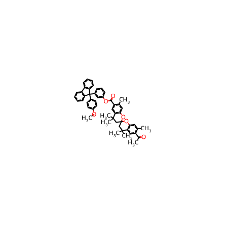 COc1ccc(C2(c3cccc(OC(=O)c4cc5c(cc4C)OC4(CC(C)(C)c6cc(C(C)=O)c(C)cc6O4)CC5(C)C)c3)c3ccccc3-c3ccccc32)cc1